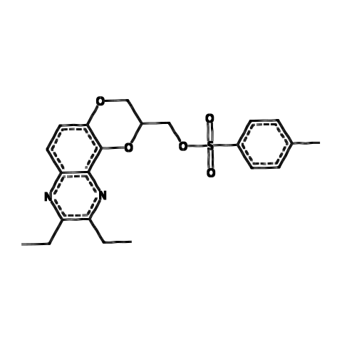 CCc1nc2ccc3c(c2nc1CC)OC(COS(=O)(=O)c1ccc(C)cc1)CO3